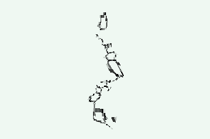 Cc1ccc(-c2ccc3c(c2)C(C(=O)NCc2ccc4ccc(CNCCSc5ccccc5)cc4c2)=CC3)cc1F